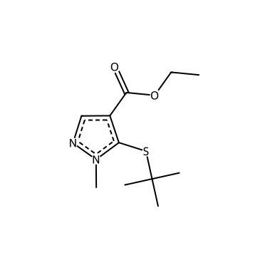 CCOC(=O)c1cnn(C)c1SC(C)(C)C